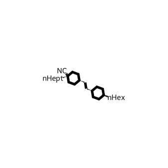 CCCCCCC[C@]1(C#N)CC[C@H](CC[C@H]2CC[C@H](CCCCCC)CC2)CC1